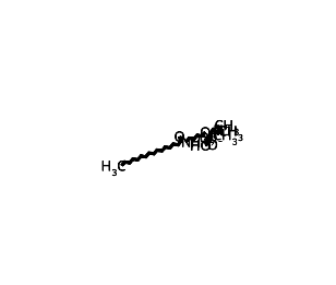 CCCCCCCCCCCCCCCC(=O)NCCCCOC(C[N+](C)(C)C)OP(=O)([O-])O